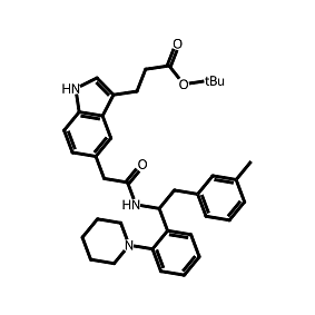 Cc1cccc(CC(NC(=O)Cc2ccc3[nH]cc(CCC(=O)OC(C)(C)C)c3c2)c2ccccc2N2CCCCC2)c1